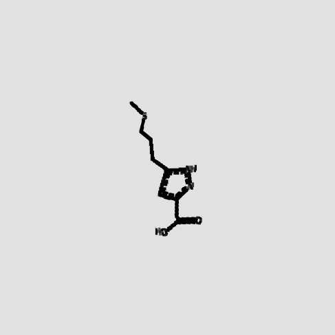 CSCCCc1cc(C(=O)O)n[nH]1